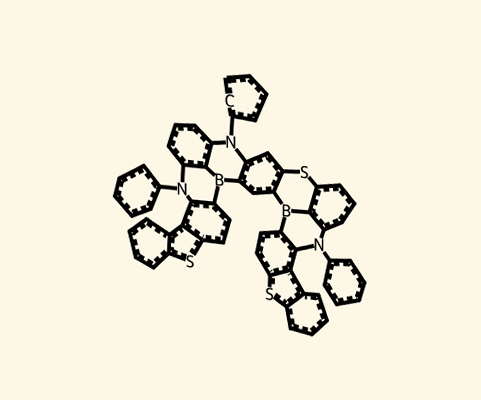 c1ccc(N2c3cc4c(cc3B3c5ccc6sc7ccccc7c6c5N(c5ccccc5)c5cccc2c53)B2c3ccc5sc6ccccc6c5c3N(c3ccccc3)c3cccc(c32)S4)cc1